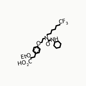 CCOC(Cc1ccc(OCCN(CCCCCCC(F)(F)F)C(=O)NC2CCCCC2)cc1)C(=O)O